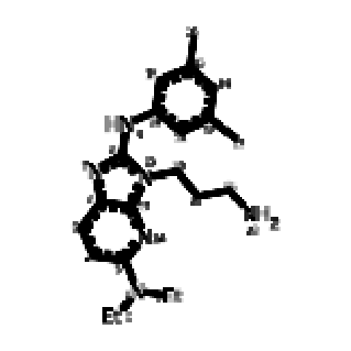 CCN(CC)c1ccc2nc(Nc3cc(C)cc(C)c3)n(CCCN)c2n1